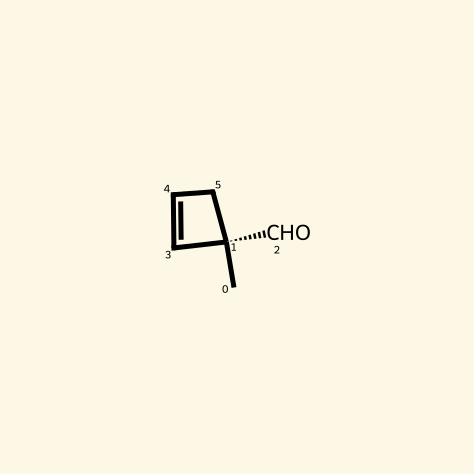 C[C@@]1(C=O)C=CC1